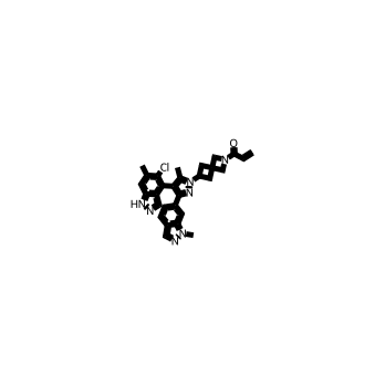 C=CC(=O)N1CC2(CC(n3nc(-c4ccc5cnn(C)c5c4)c(-c4c(Cl)c(C)cc5[nH]ncc45)c3C)C2)C1